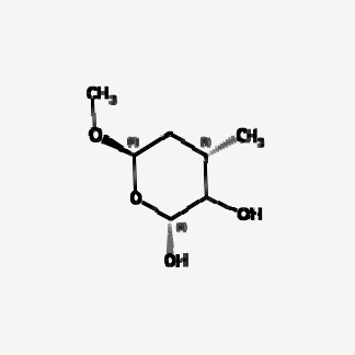 CO[C@H]1C[C@H](C)C(O)[C@H](O)O1